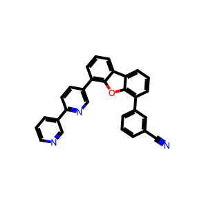 N#Cc1cccc(-c2cccc3c2oc2c(-c4ccc(-c5cccnc5)nc4)cccc23)c1